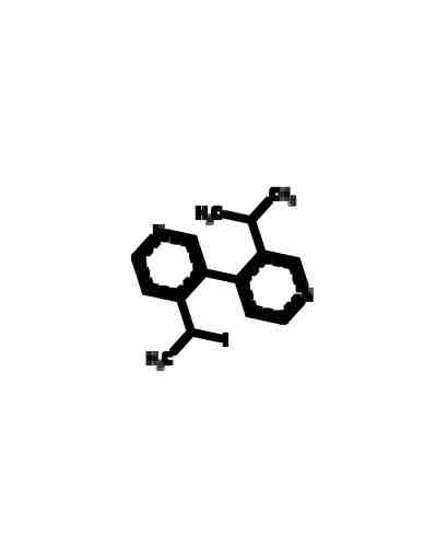 CC(C)c1cnccc1-c1cnccc1C(C)I